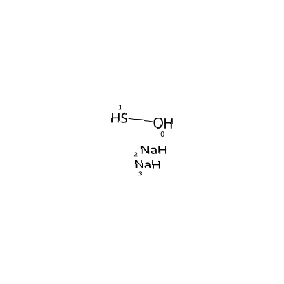 OS.[NaH].[NaH]